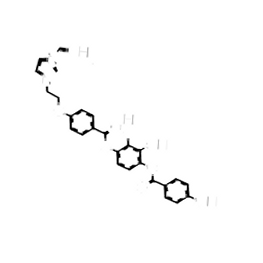 C=Cn1cc[n+](CCOc2ccc(C(=O)Oc3ccc(OC(=O)c4ccc(C)cc4)c(C)c3C)cc2)c1